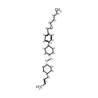 C/C=C/C[C@H]1CC[C@H](CC[C@H]2CC[C@H](c3ccc(COCCCCC)cc3)CC2)CC1